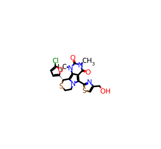 Cn1c(=O)c2c(-c3nc(CO)cs3)n3c(c2n(C)c1=O)[C@@H](c1ccc(Cl)o1)SCC3